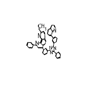 CCc1ccc2ccc3c(-c4cccc(-c5nc(-c6ccccc6)nc(-c6cccc(-c7cccc8cccnc78)c6)n5)c4)cc(-c4ccccc4)nc3c2n1